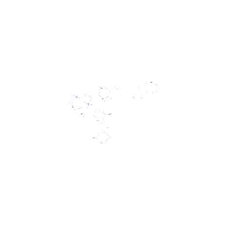 COc1cc(NCCCS(=O)(=O)c2ccccc2)cnc1-c1cc2ncnc(N)c2n1-c1ccc(Oc2cccc(C)n2)c(F)c1